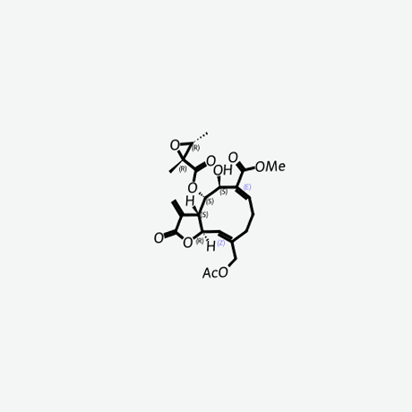 C=C1C(=O)O[C@@H]2/C=C(\COC(C)=O)CC/C=C(/C(=O)OC)[C@H](O)[C@@H](OC(=O)[C@]3(C)O[C@@H]3C)[C@@H]12